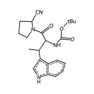 CC(c1c[nH]c2ccccc12)C(NC(=O)OC(C)(C)C)C(=O)N1CCCC1C#N